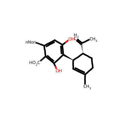 C=C(C)[C@@H]1CCC(C)=C[C@H]1c1c(O)cc(CCCCCCCCC)c(C(=O)O)c1O